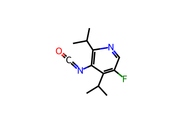 CC(C)c1ncc(F)c(C(C)C)c1N=C=O